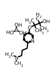 CN(C)CCCc1ccc(OC(C)(C)C(C)(C)O)cn1.OB(O)O